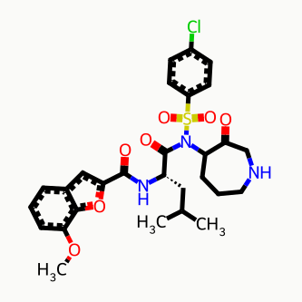 COc1cccc2cc(C(=O)N[C@@H](CC(C)C)C(=O)N(C3CCCNCC3=O)S(=O)(=O)c3ccc(Cl)cc3)oc12